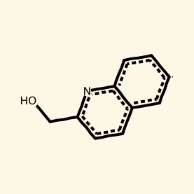 OCc1ccc2c[c]ccc2n1